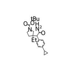 CCC1(C(C(N)=O)c2ccc(C3CC3)cc2)CCN(C(=O)OC(C)(C)C)C1